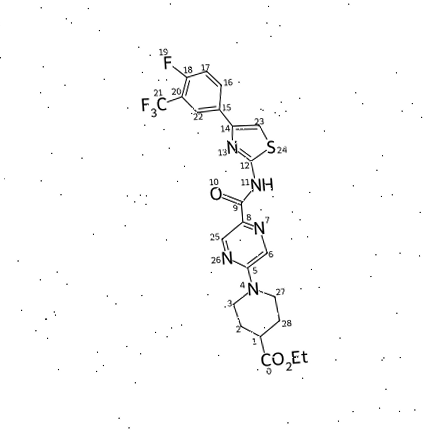 CCOC(=O)C1CCN(c2cnc(C(=O)Nc3nc(-c4ccc(F)c(C(F)(F)F)c4)cs3)cn2)CC1